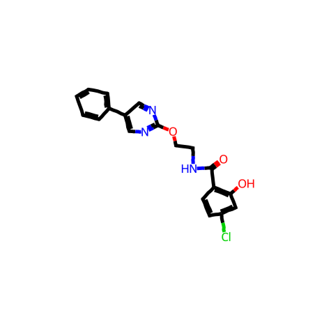 O=C(NCCOc1ncc(-c2ccccc2)cn1)c1ccc(Cl)cc1O